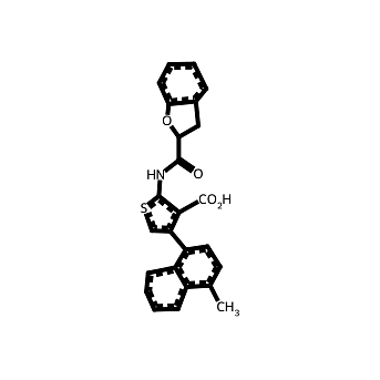 Cc1ccc(-c2csc(NC(=O)C3Cc4ccccc4O3)c2C(=O)O)c2ccccc12